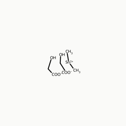 O=C([O-])CO.O=C([O-])CO.[CH3][Sn+2][CH3]